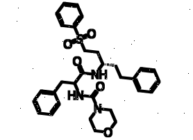 O=C(N[C@@H](CCc1ccccc1)CCS(=O)(=O)c1ccccc1)C(Cc1ccccc1)NC(=O)N1CCOCC1